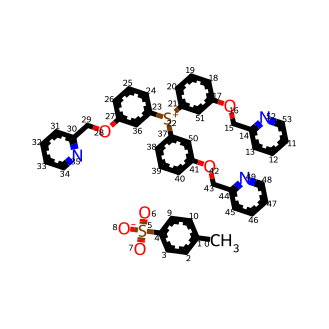 Cc1ccc(S(=O)(=O)[O-])cc1.c1ccc(COc2cccc([S+](c3cccc(OCc4ccccn4)c3)c3cccc(OCc4ccccn4)c3)c2)nc1